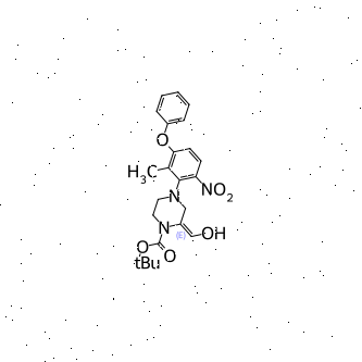 Cc1c(Oc2ccccc2)ccc([N+](=O)[O-])c1N1CCN(C(=O)OC(C)(C)C)/C(=C/O)C1